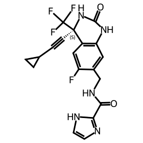 O=C1Nc2cc(CNC(=O)c3ncc[nH]3)c(F)cc2[C@@](C#CC2CC2)(C(F)(F)F)N1